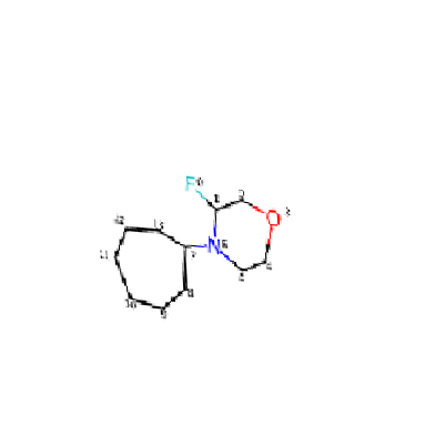 FC1COCCN1C1CCCCCC1